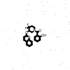 O=C(c1ccccc1O)N1CCC(F)(F)C(Oc2ccc3ccccc3n2)C1